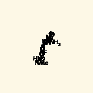 CNCCNC(=O)c1ccc(N2CCN(CCn3ncc4c3nc(N)n3nc(-c5ccco5)nc43)CC2)c(F)c1